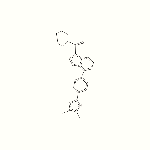 Cc1nc(-c2ccc(-c3cccc4c(C(=O)N5CCCCC5)cnn34)cc2)cn1C